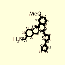 COc1ccc2nc(-c3ccc(-c4cccs4)s3)n(CC3CCCC(CN)C3)c(=O)c2c1